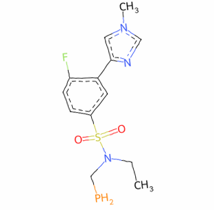 CCN(CP)S(=O)(=O)c1ccc(F)c(-c2cn(C)cn2)c1